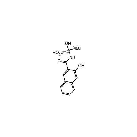 CC[C@H](C)[C@](O)(NC(=O)c1cc2ccccc2cc1O)C(=O)O